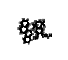 C1=CC2=C(CC1)CCc1c2ccc2ccccc12.CC1(C)C=CC(C)(C)c2cc(C(=O)O)c(O)cc21